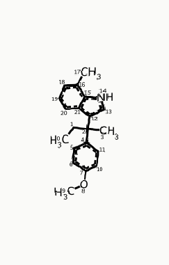 CCC(C)(c1ccc(OC)cc1)c1c[nH]c2c(C)cccc12